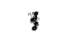 Cn1nnnc1C(=NOCc1cccc(N)n1)c1csc(-c2ccccc2)n1